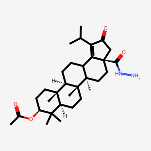 CC(=O)O[C@H]1CC[C@]2(C)[C@H]3CCC4C5=C(C(C)C)C(=O)C[C@]5(C(=O)NN)CC[C@@]4(C)[C@]3(C)CC[C@H]2C1(C)C